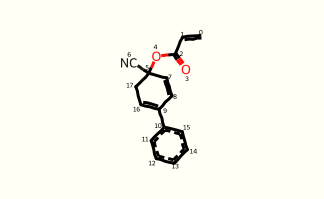 C=CC(=O)OC1(C#N)C=CC(c2ccccc2)=CC1